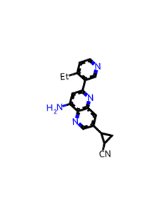 CCc1ccncc1-c1cc(N)c2ncc(C3CC3C#N)cc2n1